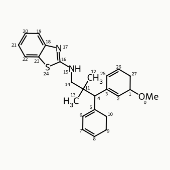 COC1C=C(C(C2=CC=CCC2)C(C)(C)CNc2nc3ccccc3s2)C=CC1